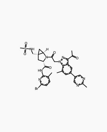 CC(=O)c1nn(CC(=O)N2[C@H](C(=O)Nc3nc(Br)ccc3C)C[C@@]3(CNS(C)(=O)=O)C[C@@H]23)c2c(C)cc(-c3cnc(C)nc3)cc12